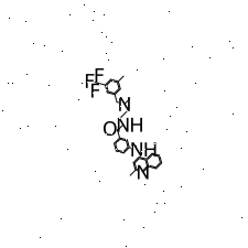 Cc1cc(CN(C)CCNC(=O)c2cccc(Nc3cc(C)nc4ccccc34)c2)cc(C(F)(F)F)c1